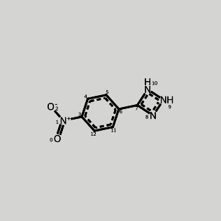 O=[N+]([O-])c1ccc(-c2n[nH][nH]2)cc1